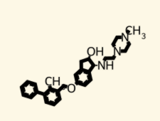 Cc1c(COc2ccc3c(c2)C[C@@H](O)[C@@H]3NCCN2CCN(C)CC2)cccc1-c1ccccc1